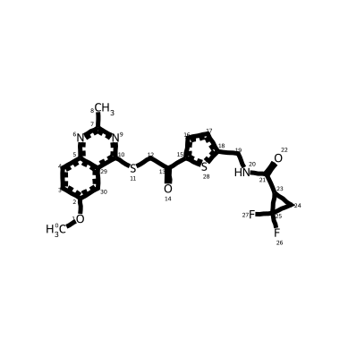 COc1ccc2nc(C)nc(SCC(=O)c3ccc(CNC(=O)C4CC4(F)F)s3)c2c1